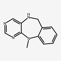 CN1c2ccccc2CNc2cncnc21